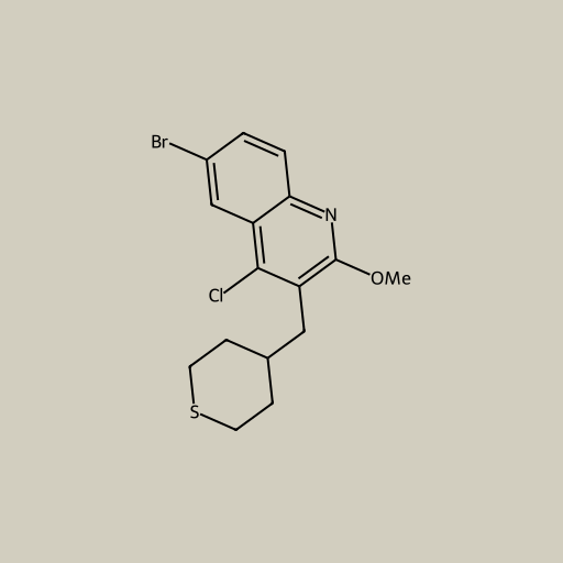 COc1nc2ccc(Br)cc2c(Cl)c1CC1CCSCC1